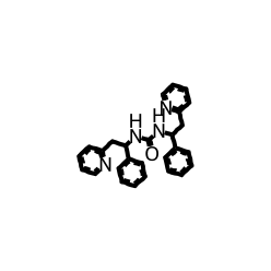 O=C(NC(Cc1ccccn1)c1ccccc1)NC(Cc1ccccn1)c1ccccc1